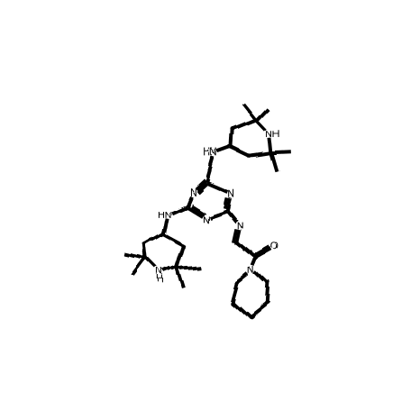 CC1(C)CC(Nc2nc(N=CC(=O)N3CCCCC3)nc(NC3CC(C)(C)NC(C)(C)C3)n2)CC(C)(C)N1